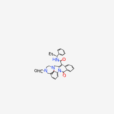 CC[C@H](NC(=O)c1c(CN2CCCN(C=O)CC2)n(-c2ccccc2)c(=O)c2ccccc12)c1ccccc1